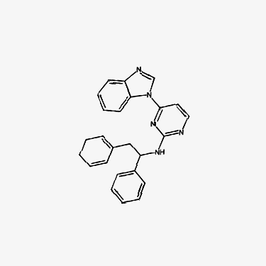 C1=CC(CC(Nc2nccc(-n3cnc4ccccc43)n2)c2ccccc2)=CCC1